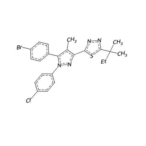 CCC(C)(C)c1nnc(-c2nn(-c3ccc(Cl)cc3)c(-c3ccc(Br)cc3)c2C)s1